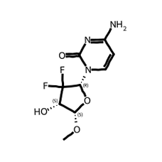 CO[C@H]1O[C@@H](n2ccc(N)nc2=O)C(F)(F)[C@H]1O